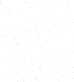 CC(C(=O)O)C(c1ccc2c(c1)OC1(CC2)CCN(S(=O)(=O)c2cc(C(F)(F)F)ccc2Cl)CC1)C1CC1